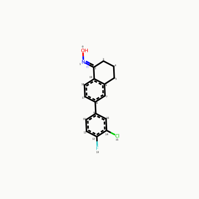 O/N=C1\CCCc2cc(-c3ccc(F)c(Cl)c3)ccc21